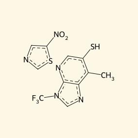 Cc1c(S)cnc2c1ncn2C(F)(F)F.O=[N+]([O-])c1cncs1